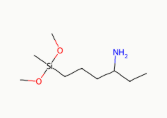 CCC(N)CCC[Si](C)(OC)OC